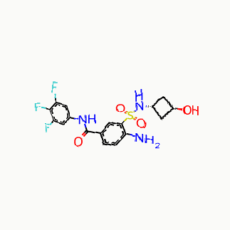 Nc1ccc(C(=O)Nc2cc(F)c(F)c(F)c2)cc1S(=O)(=O)N[C@H]1C[C@H](O)C1